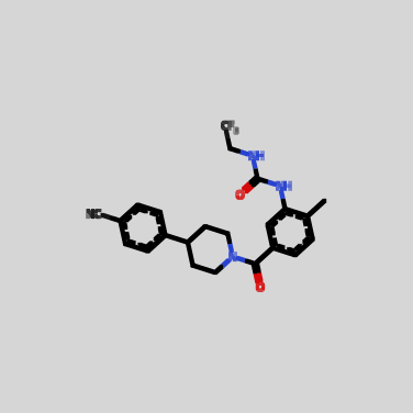 Cc1ccc(C(=O)N2CCC(c3ccc(C#N)cc3)CC2)cc1NC(=O)NCC(F)(F)F